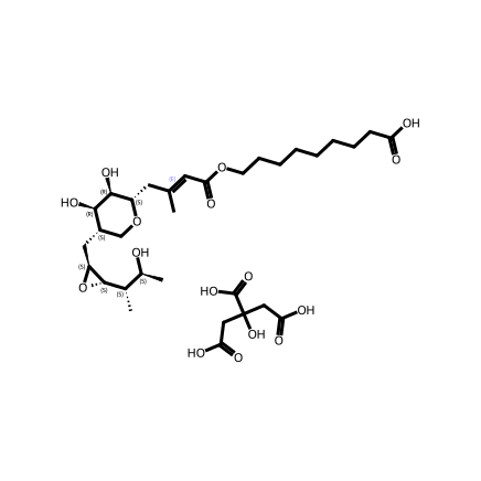 C/C(=C\C(=O)OCCCCCCCCC(=O)O)C[C@@H]1OC[C@H](C[C@@H]2O[C@H]2[C@@H](C)[C@H](C)O)[C@@H](O)[C@H]1O.O=C(O)CC(O)(CC(=O)O)C(=O)O